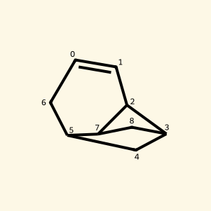 C1=CC2C3CC(C1)C2C3